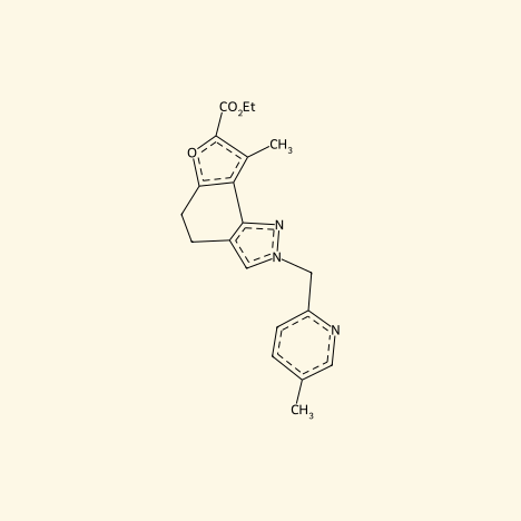 CCOC(=O)c1oc2c(c1C)-c1nn(Cc3ccc(C)cn3)cc1CC2